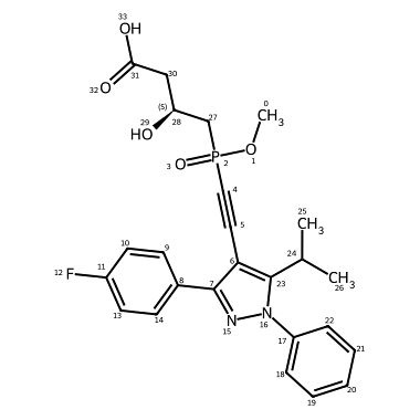 COP(=O)(C#Cc1c(-c2ccc(F)cc2)nn(-c2ccccc2)c1C(C)C)C[C@@H](O)CC(=O)O